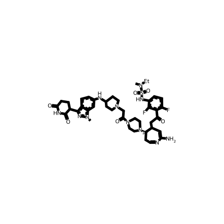 CCN(C)S(=O)(=O)Nc1ccc(F)c(C(=O)CC2C=C(N)N=CC[C@H]2N2CCN(C(=O)CN3CCC(Nc4ccc5c(C6CCC(=O)NC6=O)nn(C)c5c4)CC3)CC2)c1F